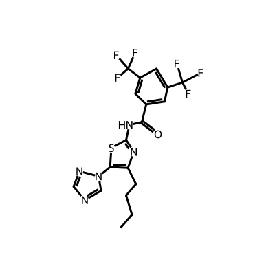 CCCCc1nc(NC(=O)c2cc(C(F)(F)F)cc(C(F)(F)F)c2)sc1-n1cncn1